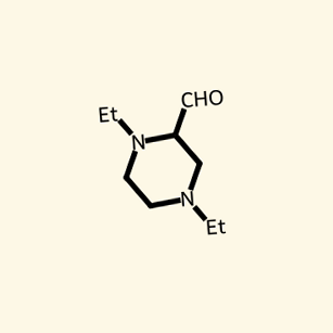 CCN1CCN(CC)C(C=O)C1